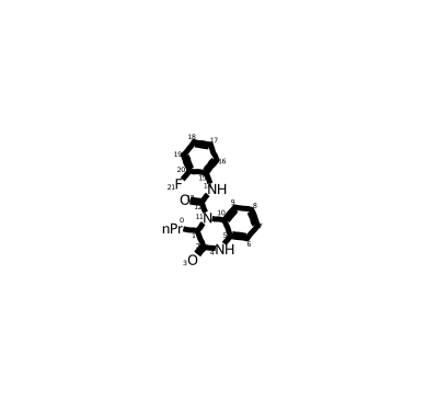 CCCC1C(=O)Nc2ccccc2N1C(=O)Nc1ccccc1F